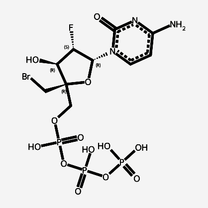 Nc1ccn([C@@H]2O[C@](CBr)(COP(=O)(O)OP(=O)(O)OP(=O)(O)O)[C@@H](O)[C@@H]2F)c(=O)n1